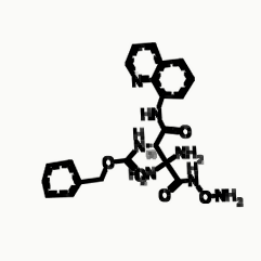 NONC(=O)C(N)(N)[C@H](NC(=O)OCc1ccccc1)C(=O)Nc1cccc2cccnc12